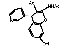 CC(=O)NC1=C(C(C)=O)C(c2cccnc2)c2ccc(O)cc2O1